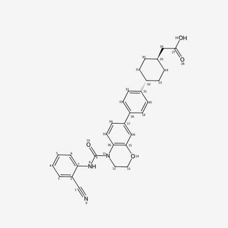 N#Cc1ccccc1NC(=O)N1CCOc2cc(-c3ccc([C@H]4CC[C@H](CC(=O)O)CC4)cc3)ccc21